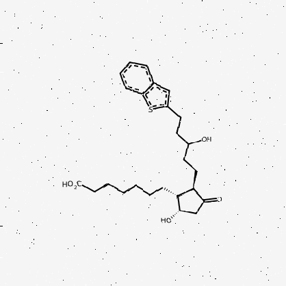 O=C(O)CCCCCC[C@H]1[C@@H](O)CC(=O)[C@@H]1CCC(O)CCc1cc2ccccc2s1